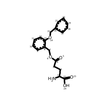 NC(CCC(=O)OCc1ccccc1OCc1ccccc1)C(=O)O